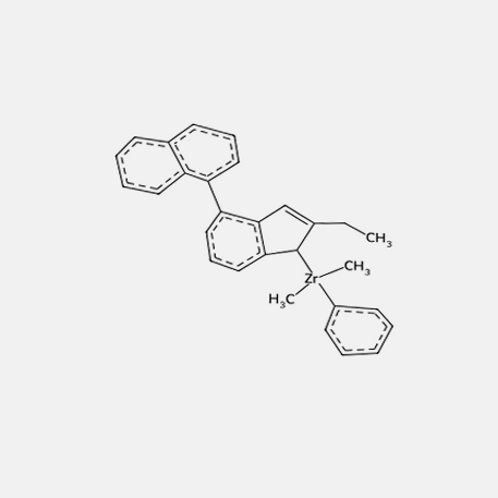 CCC1=Cc2c(-c3cccc4ccccc34)cccc2[CH]1[Zr]([CH3])([CH3])[c]1ccccc1